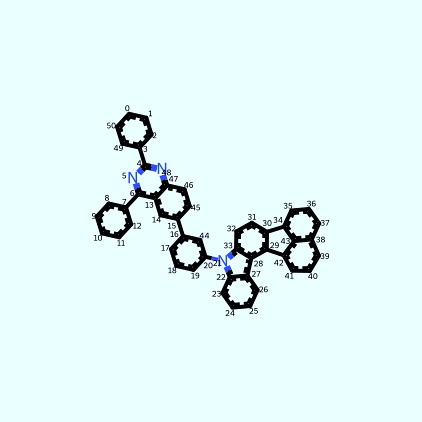 c1ccc(-c2nc(-c3ccccc3)c3cc(-c4cccc(-n5c6ccccc6c6c7c(ccc65)-c5cccc6cccc-7c56)c4)ccc3n2)cc1